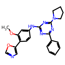 COc1cc(Nc2nc(-c3ccccc3)nc(N3CCCC3)n2)ccc1-c1cnco1